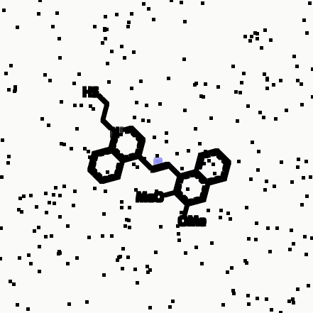 COc1cc2ccccc2c(/C=C/c2cc[n+](CCS)c3ccccc23)c1OC